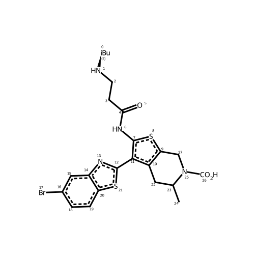 CC[C@H](C)NCCC(=O)Nc1sc2c(c1-c1nc3cc(Br)ccc3s1)CC(C)N(C(=O)O)C2